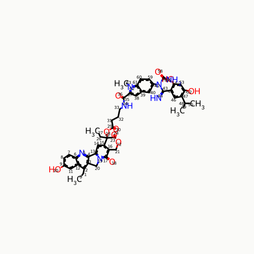 CCc1c2c(nc3ccc(O)cc13)-c1cc3c(c(=O)n1C2)COC(=O)C3(CC)OC(=O)CCCNC(=O)c1cc2cc(N(C(=N)c3cc(C(C)C)c(O)cc3O)C(N)=O)ccc2n1C